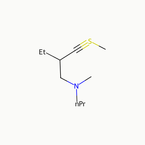 CCCN(C)CC(C#SC)CC